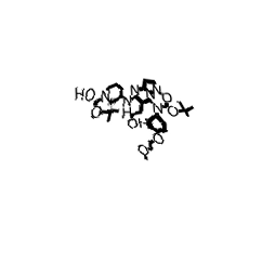 COCCOc1ccc(N(C(=O)OC(C)(C)C)c2c(CCO)c(NC3CCCN(C(=O)O)[C@H]3C(C)(C)C)nc3ccnn23)cc1